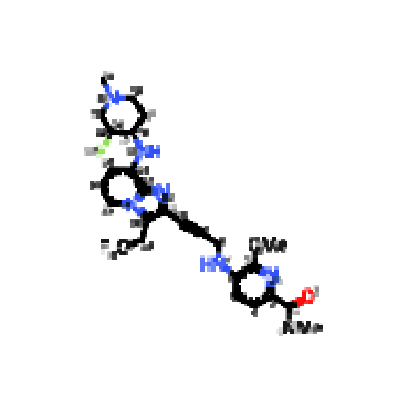 CNC(=O)c1ccc(NCC#Cc2nc3c(N[C@@H]4CCN(C)C[C@@H]4F)cccn3c2CC(F)(F)F)c(OC)n1